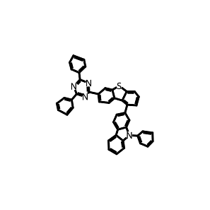 c1ccc(-c2nc(-c3ccccc3)nc(-c3ccc4c(c3)sc3cccc(-c5ccc6c7ccccc7n(-c7ccccc7)c6c5)c34)n2)cc1